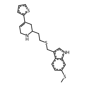 CSc1ccc2c(CSCCC3CC(c4cccs4)=CCN3)c[nH]c2c1